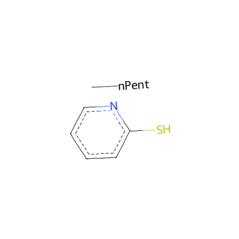 CCCCCC.Sc1ccccn1